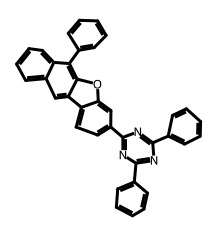 c1ccc(-c2nc(-c3ccccc3)nc(-c3ccc4c(c3)oc3c(-c5ccccc5)c5ccccc5cc34)n2)cc1